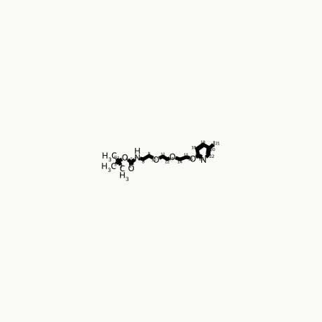 CC(C)(C)OC(=O)NCCOCCOCCOc1ccc(I)cn1